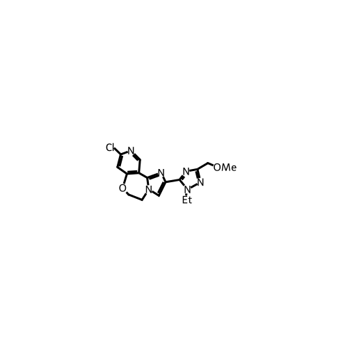 CCn1nc(COC)nc1-c1cn2c(n1)-c1cnc(Cl)cc1OCC2